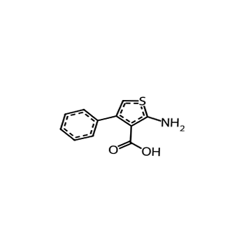 Nc1scc(-c2ccccc2)c1C(=O)O